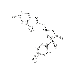 CCN(SNCC=Nc1ccc(Cl)cc1C)S(=O)(=O)c1ccc(C)cc1